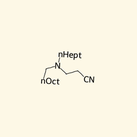 CCCCCCCCCN(CCC#N)CCCCCCC